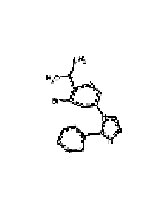 CC(C)c1ccc(-n2ccnc2-c2ccccc2)cc1Br